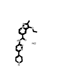 CCOc1c(C)nn2ccc(C(=O)Nc3ccc(C4=CCNCC4)nn3)cc12.Cl